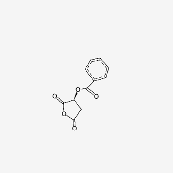 O=C1C[C@H](OC(=O)c2ccccc2)C(=O)O1